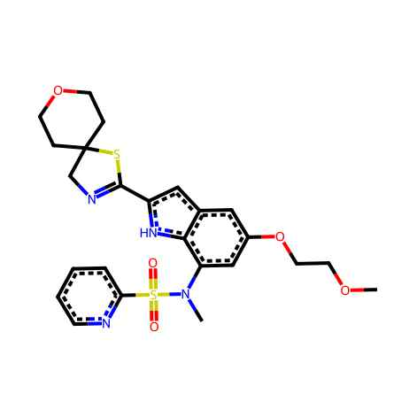 COCCOc1cc(N(C)S(=O)(=O)c2ccccn2)c2[nH]c(C3=NCC4(CCOCC4)S3)cc2c1